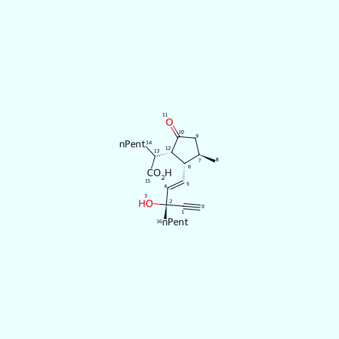 C#C[C@](O)(C=C[C@H]1[C@H](C)CC(=O)[C@H]1C(CCCCC)C(=O)O)CCCCC